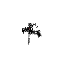 CCCCCCCCCCCCCCC(C(=O)NCCS(N)(=O)=O)(c1nc2ccc(-c3ccc(C(=O)N4CC(F)(F)C4)cc3)cc2s1)S(=O)(=O)Cc1ccc(C(F)(F)F)cc1